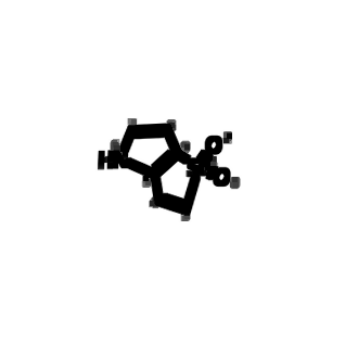 O=[Se]1(=O)C=Cc2[nH]ccc21